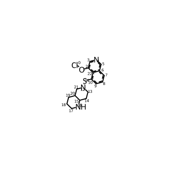 ClOc1cncc2cccc(SN3CCC4NCCCC4C3)c12